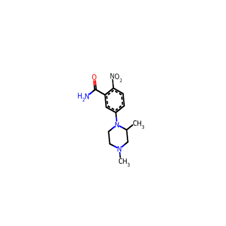 CC1CN(C)CCN1c1ccc([N+](=O)[O-])c(C(N)=O)c1